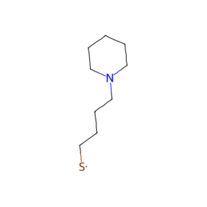 [S]CCCCN1CCCCC1